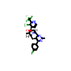 Cc1nc(-c2ccc(F)cc2)c2c(n1)[C@@H]1CCC(C)[C@H](C2)N1C(=O)c1ccnc(C(F)(F)F)c1Cl